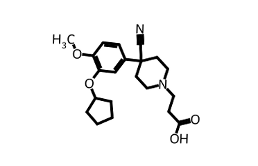 COc1ccc(C2(C#N)CCN(CCC(=O)O)CC2)cc1OC1CCCC1